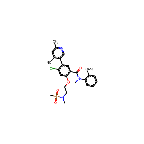 COc1ccccc1N(C)C(=O)c1cc(-c2cnc(C(F)(F)F)cc2C#N)c(Cl)cc1OCCN(C)S(C)(=O)=O